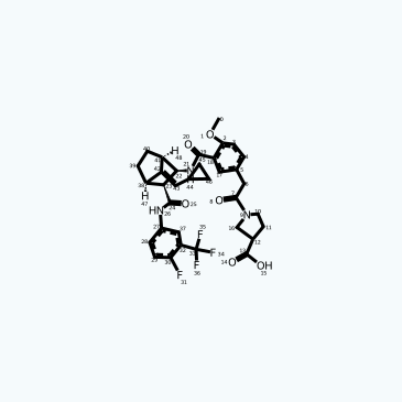 COc1ccc(CC(=O)N2CCC(C(=O)O)C2)cc1C(=O)N[C@H]1[C@@H](C(=O)Nc2ccc(F)c(C(F)(F)F)c2)[C@H]2CC[C@@H]1/C2=C\C1CC1